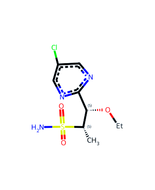 CCO[C@@H](c1ncc(Cl)cn1)[C@H](C)S(N)(=O)=O